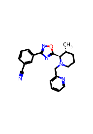 C[C@@H]1CCCN(Cc2ccccn2)[C@H]1c1nc(-c2cccc(C#N)c2)no1